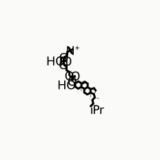 CC(C)CCC[C@@H](C)[C@H]1CCC2C3CC=C4C[C@@H](OC(=O)OCCCOP(=O)(O)OCC[N+](C)(C)C)CC[C@]4(C)C3CC[C@@]21C.[OH-]